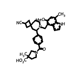 COc1cc(C)c2[nH]ccc2c1CN1CCC2(CC(C#N)C2)CC1c1ccc(C(=O)N2CCC(C)(C(=O)O)C2)cc1